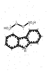 O=S(=O)(O)OOS(=O)(=O)O.c1ccc2c(c1)[nH]c1ccccc12